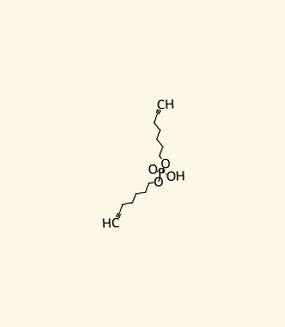 C#CCCCCCOP(=O)(O)OCCCCCC#C